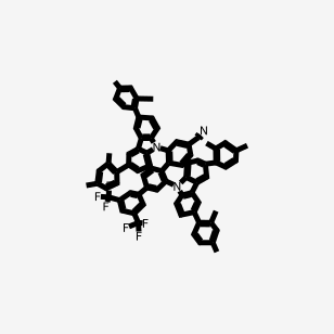 Cc1ccc(-c2ccc3c(c2)c2cc(-c4ccc(C)cc4C)ccc2n3-c2cc(C#N)ccc2-c2ccc(-c3cc(C(F)(F)F)cc(C(F)(F)F)c3)cc2-n2c3ccc(-c4ccc(C)cc4C)cc3c3cc(-c4ccc(C)cc4C)ccc32)c(C)c1